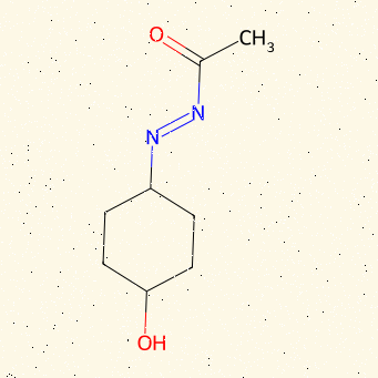 CC(=O)N=NC1CCC(O)CC1